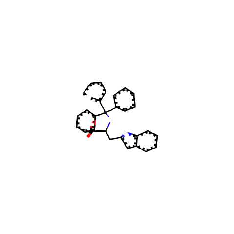 O=C(O)C(Cc1cc2ccccc2[nH]1)NC(c1ccccc1)(c1ccccc1)c1ccccc1